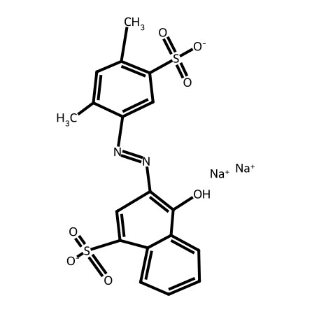 Cc1cc(C)c(S(=O)(=O)[O-])cc1/N=N/c1cc(S(=O)(=O)[O-])c2ccccc2c1O.[Na+].[Na+]